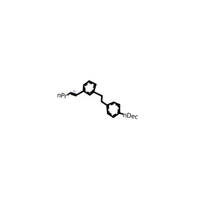 CCC/C=C/c1cccc(CCc2ccc(CCCCCCCCCC)cc2)c1